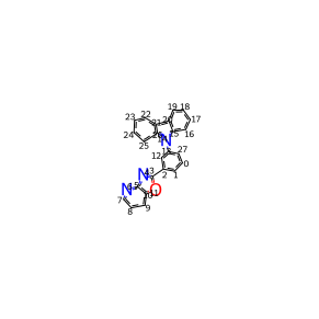 c1cc(-c2nc3ncccc3o2)cc(-n2c3ccccc3c3ccccc32)c1